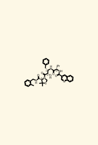 Cc1ccccc1CNC(=O)[C@H]1N(C(=O)[C@@H](O)[C@H](Cc2ccccc2)NC(=O)[C@@H](NC(=O)c2cnc3ccccc3c2)C(C)C)CSC1(C)C